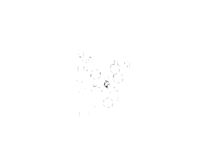 CCOc1ccc(F)c([C@@H](Nc2ccc3c(N)nccc3c2)C(=O)N2CC[C@H](C(=O)OC)[C@@H]2c2cc(NC(=O)OC)ccc2[SH](=O)=O)c1